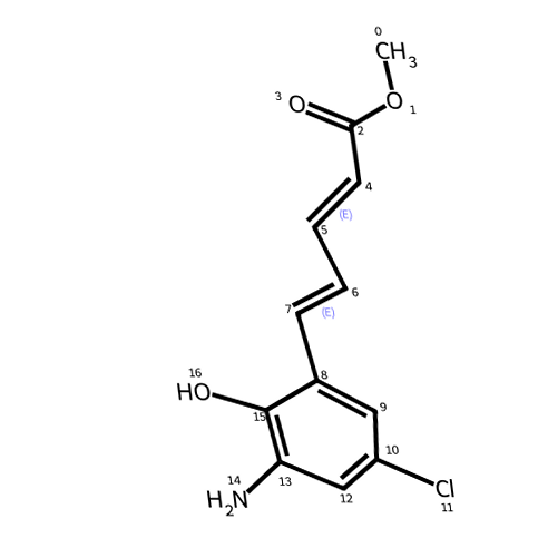 COC(=O)/C=C/C=C/c1cc(Cl)cc(N)c1O